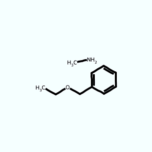 CCOCc1ccccc1.CN